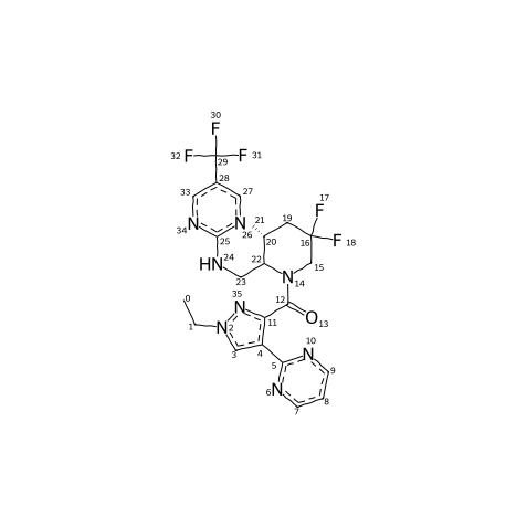 CCn1cc(-c2ncccn2)c(C(=O)N2CC(F)(F)C[C@@H](C)C2CNc2ncc(C(F)(F)F)cn2)n1